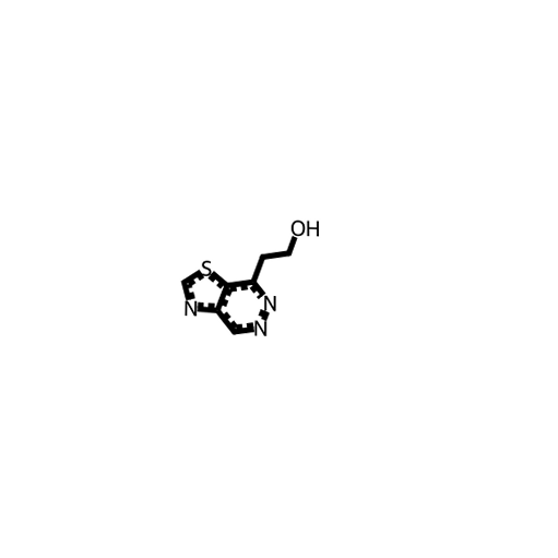 OCCc1nncc2ncsc12